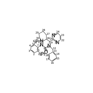 CC(C)c1cccc(C(C)C)c1NC(=O)N(Cc1ccccc1)C(c1ncccn1)C1CCCCC1